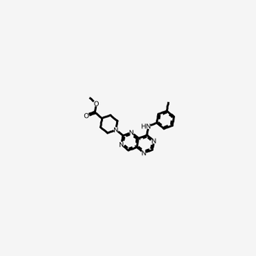 COC(=O)C1CCN(c2ncc3ncnc(Nc4cccc(C)c4)c3n2)CC1